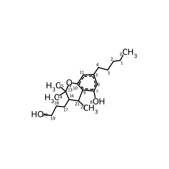 CCCCCc1cc(O)c2c(c1)OC(C)(C)C(CCCO)C2C